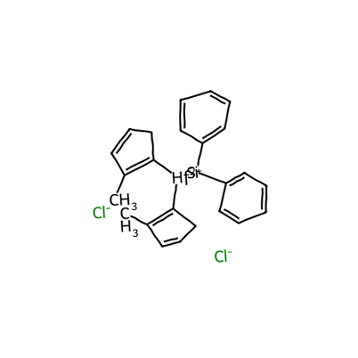 CC1=[C]([Hf+2]([C]2=C(C)C=CC2)=[Si](c2ccccc2)c2ccccc2)CC=C1.[Cl-].[Cl-]